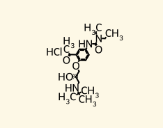 CCN(CC)C(=O)Nc1ccc(OC[C@@H](O)CNC(C)(C)C)c(C(C)=O)c1.Cl